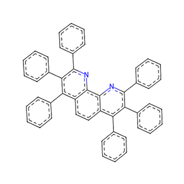 c1ccc(-c2nc3c(ccc4c(-c5ccccc5)c(-c5ccccc5)c(-c5ccccc5)nc43)c(-c3ccccc3)c2-c2ccccc2)cc1